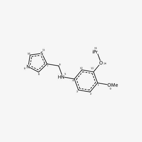 COc1ccc(NCc2cncs2)cc1OC(C)C